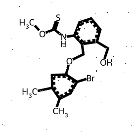 COC(=S)Nc1cccc(CO)c1COc1cc(C)c(C)cc1Br